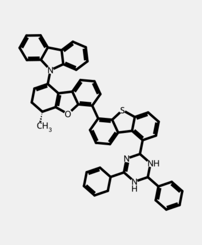 C[C@@H]1CC=C(n2c3ccccc3c3ccccc32)c2c1oc1c(-c3cccc4c3sc3cccc(C5N=C(C6C=CC=CC6)NC(c6ccccc6)N5)c34)cccc21